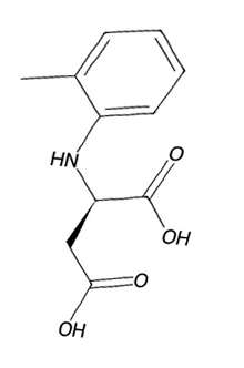 Cc1ccccc1N[C@H](CC(=O)O)C(=O)O